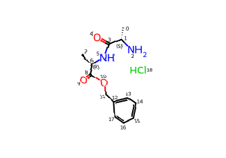 C[C@H](N)C(=O)N[C@H](C)C(=O)OCc1ccccc1.Cl